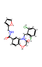 O=C(NCc1ccco1)c1ccc2c(c1)N(Cc1c(F)cccc1Cl)C(=O)CO2